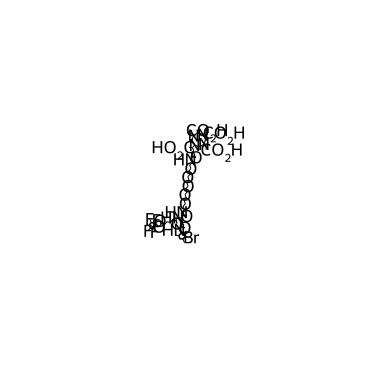 Cc1cc(C)c(NC(=O)CC[C@@H](NC(=O)CCCCC(=O)Oc2c(F)c(F)cc(F)c2F)C(=O)NCCOCCOCCOCCOCCOCCNC(=O)CCC(C(=O)O)N2CCN(CC(=O)O)CCN(CC(=O)O)CCN(CC(=O)O)CC2)c(C)c1Br